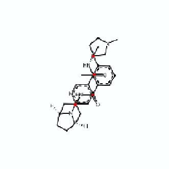 COc1cccc(C(=O)N[C@H]2C[C@H]3CC[C@@H](C2)N3c2ccc(C(=O)N[C@@H]3CCN(C)C3)cn2)c1C